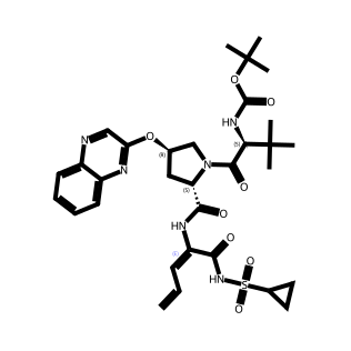 C=C/C=C(/NC(=O)[C@@H]1C[C@@H](Oc2cnc3ccccc3n2)CN1C(=O)[C@@H](NC(=O)OC(C)(C)C)C(C)(C)C)C(=O)NS(=O)(=O)C1CC1